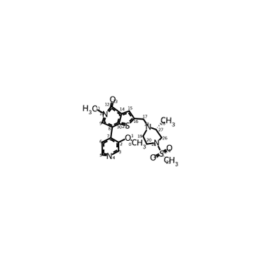 COc1cnccc1-c1cn(C)c(=O)c2cc(CN3CCN(S(C)(=O)=O)C[C@H]3C)sc12